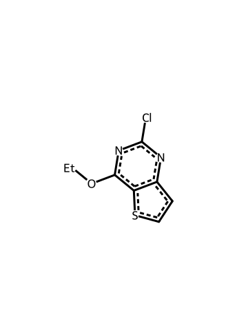 CCOc1nc(Cl)nc2ccsc12